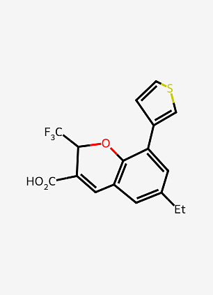 CCc1cc2c(c(-c3ccsc3)c1)OC(C(F)(F)F)C(C(=O)O)=C2